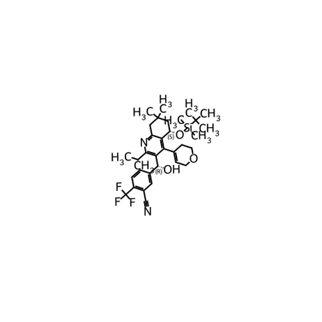 CC(C)c1nc2c(c(C3=CCOCC3)c1[C@H](O)c1ccc(C(F)(F)F)c(C#N)c1)[C@@H](O[Si](C)(C)C(C)(C)C)CC(C)(C)C2